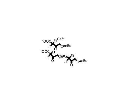 CCCCOCC(=O)C(CC)(CC)C(=O)[O-].CCCCOCC(=O)C(CC)(CC)C(=O)[O-].CCCCOCC(=O)C(CC)(CC)C(=O)[O-].[Ga+3]